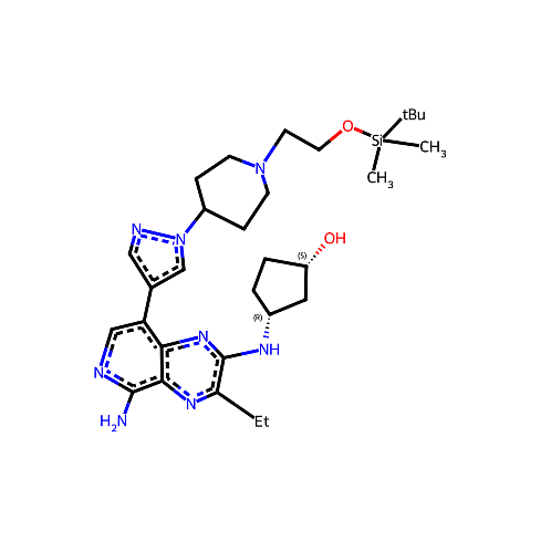 CCc1nc2c(N)ncc(-c3cnn(C4CCN(CCO[Si](C)(C)C(C)(C)C)CC4)c3)c2nc1N[C@@H]1CC[C@H](O)C1